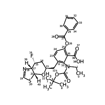 CCN(C(=O)OC(C)(C)C)c1c(C[C@@H]2C[C@@H](F)[C@H]3N=CS[C@H]3O2)ccc(OC(=O)c2ccccc2)c1C(=O)O